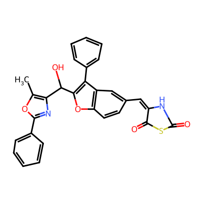 Cc1oc(-c2ccccc2)nc1C(O)c1oc2ccc(C=C3NC(=O)SC3=O)cc2c1-c1ccccc1